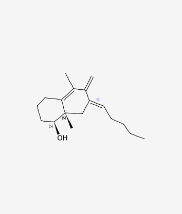 C=C1C(C)=C2CCC[C@H](O)[C@@]2(C)C/C1=C\CCCC